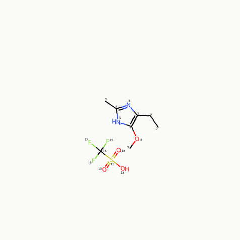 CCc1nc(C)[nH]c1OC.O=S(=O)(O)C(F)(F)F